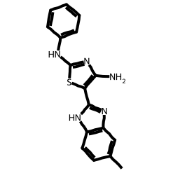 Cc1ccc2[nH]c(-c3sc(Nc4ccccc4)nc3N)nc2c1